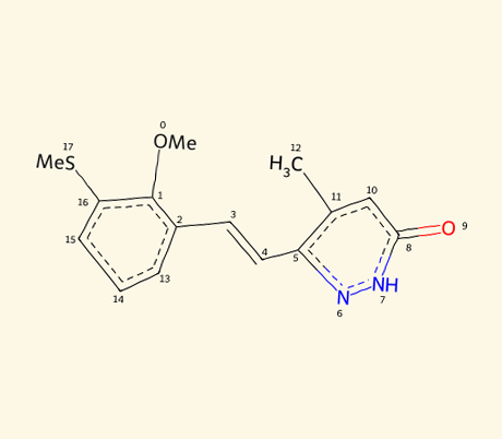 COc1c(C=Cc2n[nH]c(=O)cc2C)cccc1SC